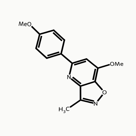 COc1ccc(-c2cc(OC)c3onc(C)c3n2)cc1